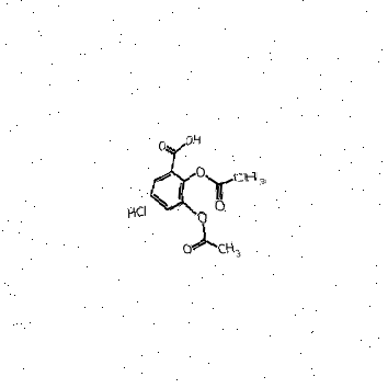 CC(=O)Oc1cccc(C(=O)O)c1OC(C)=O.Cl